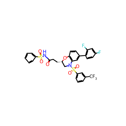 O=C(CC[C@H]1CN(S(=O)(=O)c2cccc(C(F)(F)F)c2)c2cc(-c3ccc(F)cc3F)ccc2O1)NS(=O)(=O)c1ccccc1